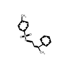 CC(=CC=NS(=O)(=O)c1ccc(C)cc1)c1ccccc1